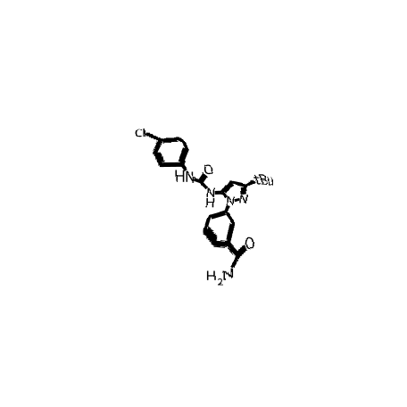 CC(C)(C)c1cc(NC(=O)Nc2ccc(Cl)cc2)n(-c2cccc(C(N)=O)c2)n1